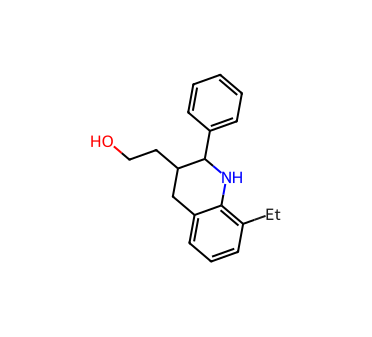 CCc1cccc2c1NC(c1ccccc1)C(CCO)C2